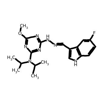 COc1nc(NN=Cc2c[nH]c3ccc(F)cc23)nc(N(C(C)C)C(C)C)n1